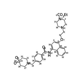 CCOC(=O)N1CCN(CCOc2ccc(NC(=O)c3ccc(CN4CCS(=O)(=O)CC4)cc3)c3ccccc23)CC1